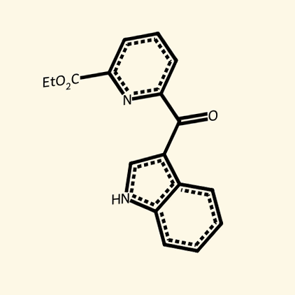 CCOC(=O)c1cccc(C(=O)c2c[nH]c3ccccc23)n1